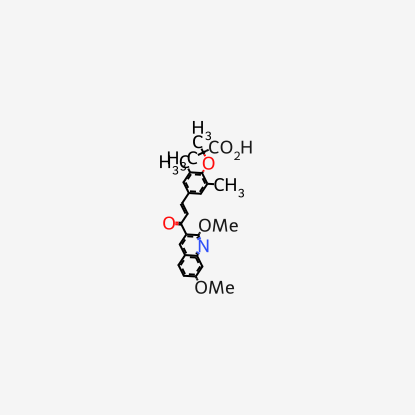 COc1ccc2cc(C(=O)C=Cc3cc(C)c(OC(C)(C)C(=O)O)c(C)c3)c(OC)nc2c1